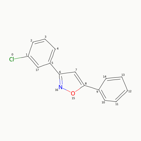 Clc1cccc(-c2cc(-c3ccccc3)on2)c1